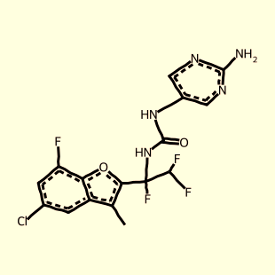 Cc1c(C(F)(NC(=O)Nc2cnc(N)nc2)C(F)F)oc2c(F)cc(Cl)cc12